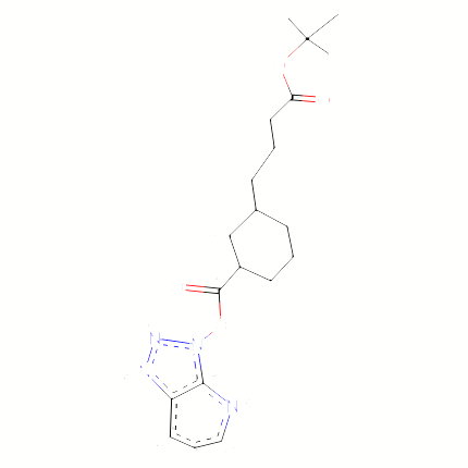 CC(C)(C)OC(=O)CCCC1CCCC(C(=O)On2nnc3cccnc32)C1